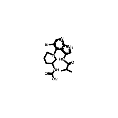 CC(C)C(=O)Nc1c[nH]c2ncc(Br)c(N3CCCC(NC(=O)O)C3)c12